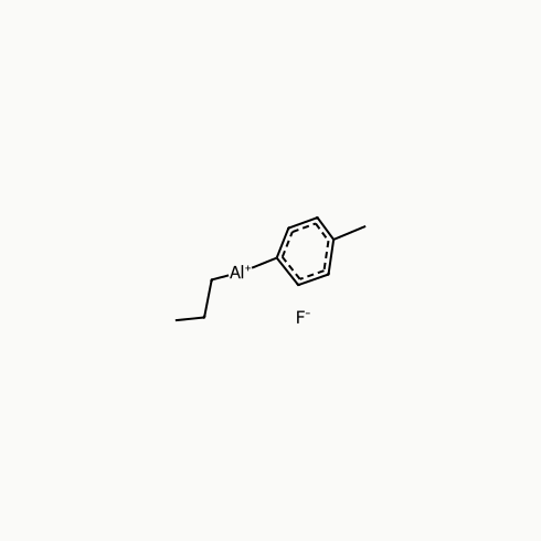 CC[CH2][Al+][c]1ccc(C)cc1.[F-]